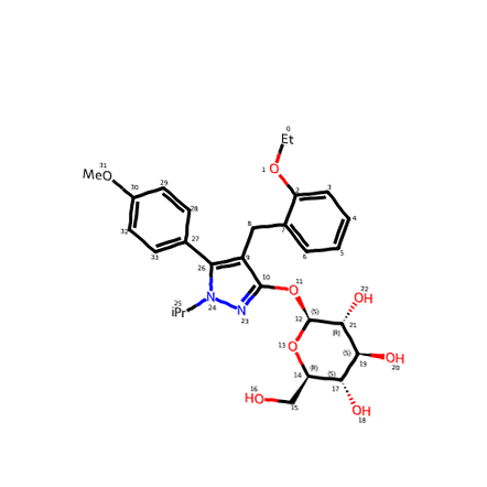 CCOc1ccccc1Cc1c(O[C@@H]2O[C@H](CO)[C@@H](O)[C@H](O)[C@H]2O)nn(C(C)C)c1-c1ccc(OC)cc1